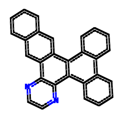 c1ccc2cc3c(cc2c1)c1nccnc1c1c2ccccc2c2ccccc2c31